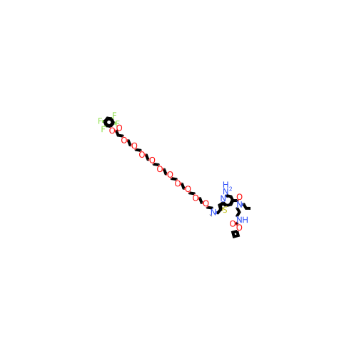 CCCN(CCCNC(=O)OC1CCC1)C(=O)C1=Cc2sc(CN(C)CCOCCOCCOCCOCCOCCOCCOCCOCCOCCOCCC(=O)Oc3c(F)c(F)cc(F)c3F)cc2N=C(N)C1